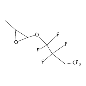 CC1OC1OC(F)(F)C(F)(F)CC(F)(F)F